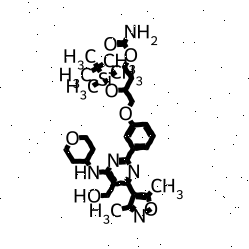 Cc1noc(C)c1-c1nc(-c2cccc(OCC(CCOC(N)=O)O[Si](C)(C)C(C)(C)C)c2)nc(NC2CCOCC2)c1CO